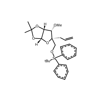 C=CC[C@]1(CO[Si](c2ccccc2)(c2ccccc2)C(C)(C)C)O[C@@H]2OC(C)(C)O[C@@H]2[C@@H]1OC